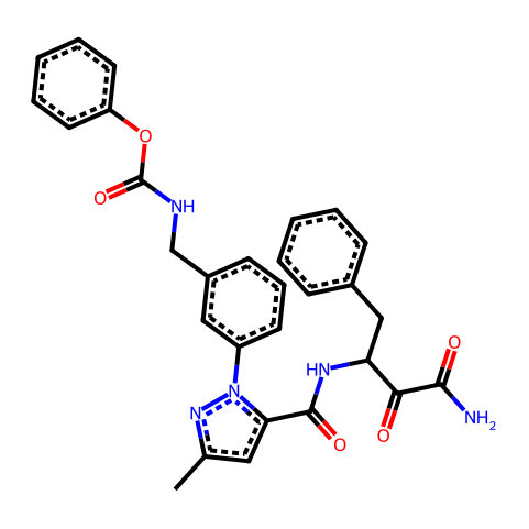 Cc1cc(C(=O)NC(Cc2ccccc2)C(=O)C(N)=O)n(-c2cccc(CNC(=O)Oc3ccccc3)c2)n1